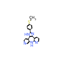 CCSc1ccc(-c2nc3c([nH]2)-c2ccncc2Nc2ncccc2-3)cc1